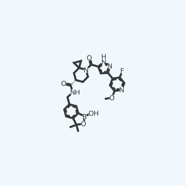 COc1cc(-c2cc(C(=O)N3CC[C@H](C(=O)NCc4ccc5c(c4)B(O)OC5(C)C)CC34CC4)[nH]n2)c(F)cn1